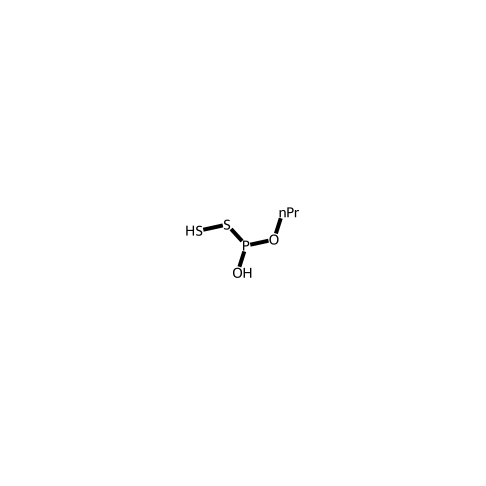 CCCOP(O)SS